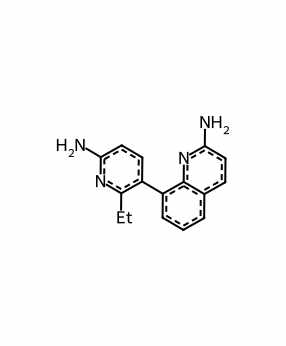 CCc1nc(N)ccc1-c1cccc2ccc(N)nc12